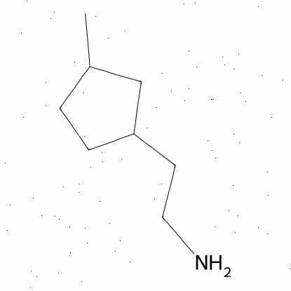 CC1CCC(CCN)C1